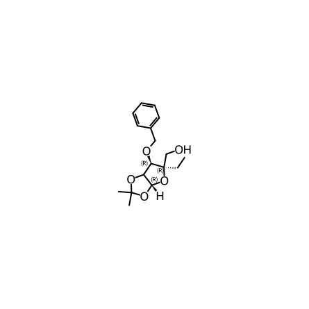 CC[C@]1(CO)O[C@@H]2OC(C)(C)OC2[C@H]1OCc1ccccc1